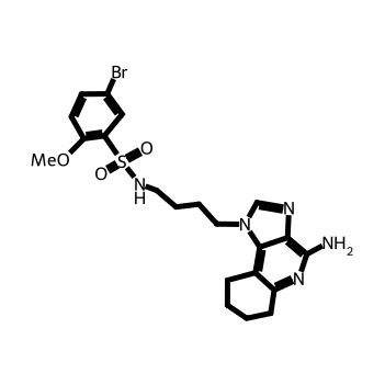 COc1ccc(Br)cc1S(=O)(=O)NCCCCn1cnc2c(N)nc3c(c21)CCCC3